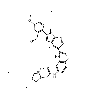 COc1ccc(-c2cc3cc(C(=O)Nc4cc(NC(=O)CN5CCC[C@@H]5C)cnc4C)cnc3[nH]2)c(CO)c1